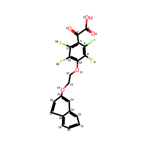 O=C(O)C(=O)c1c(F)c(F)c(OCCOc2ccc3ccccc3c2)c(F)c1F